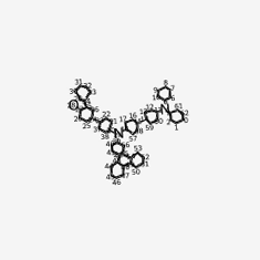 c1ccc(N(c2ccccc2)c2ccc(-c3ccc(N(c4ccc(-c5ccc6oc7ccccc7c6c5)cc4)c4ccc5c6ccccc6c6ccccc6c5c4)cc3)cc2)cc1